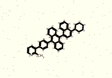 Cc1ncccc1-c1ccc(-c2c3ccccc3c(-c3ccc(C4CCCCC4)c4ccccc34)c3ccccc23)cc1